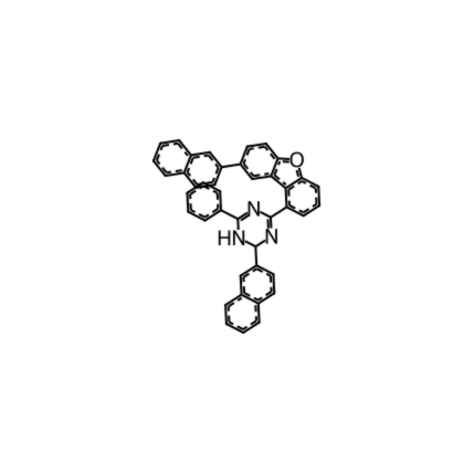 c1ccc(C2=NC(c3cccc4oc5ccc(-c6ccc7ccccc7c6)cc5c34)=NC(c3ccc4ccccc4c3)N2)cc1